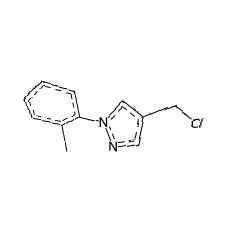 Cc1ccccc1-n1cc(CCl)cn1